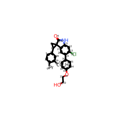 CC(C)c1ccc(C2CC23C(=O)Nc2cc(Cl)c(-c4ccc(OCCO)cc4)cc23)cc1C(=O)O